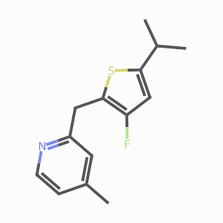 Cc1ccnc(Cc2sc(C(C)C)cc2F)c1